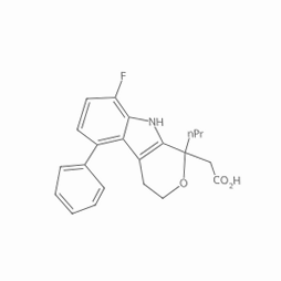 CCCC1(CC(=O)O)OCCc2c1[nH]c1c(F)ccc(-c3ccccc3)c21